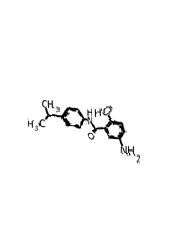 CC(C)c1ccc(NC(=O)c2cc(N)ccc2O)cc1